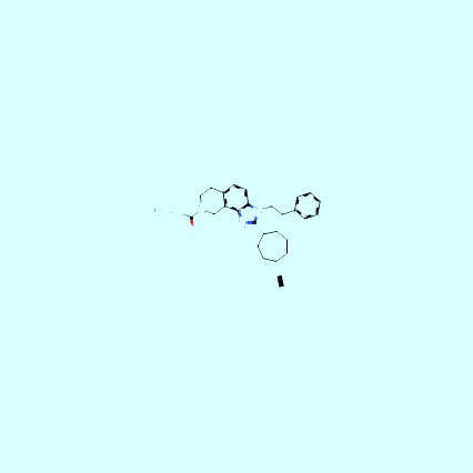 C#C[C@H]1CCC[C@H](c2nc3c4c(ccc3n2[C@H](C)Cc2ccccc2)CCN(C(=O)OC)C4)CC1